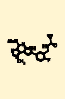 CNc1nc2[nH]c(-c3ccc(F)c(CNC(=O)C4CC4)c3)cc2c2c1ncn2C